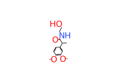 COc1ccc(C(C)C(=O)NCCO)cc1OC